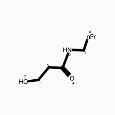 CCCCNC(=O)CCO